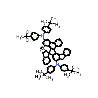 CC(C)(C)c1ccc(N(c2ccc(C(C)(C)C)cc2)c2ccc3c4c(c5ccccc5c3c2)-c2c(cc(N(c3ccc(C(C)(C)C)cc3)c3ccc(C(C)(C)C)cc3)c3c2-c2ccccc2C3)C42c3ccccc3-c3ccccc32)cc1